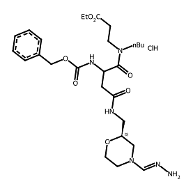 CCCCN(CCC(=O)OCC)C(=O)C(CC(=O)NC[C@H]1CN(C=NN)CCO1)NC(=O)OCc1ccccc1.Cl